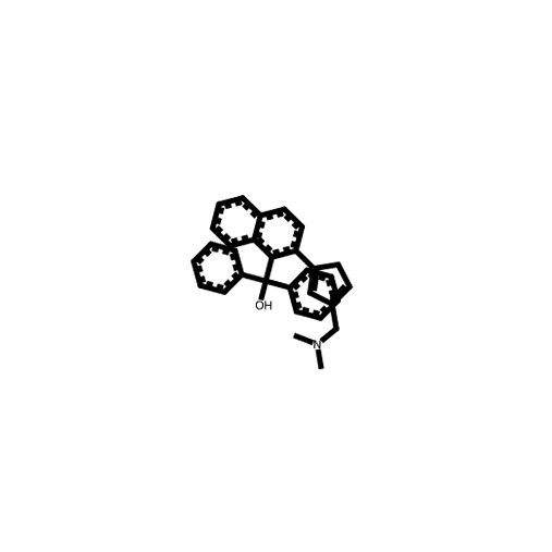 CN(C)CC1=CCC(c2ccc3ccccc3c2C(O)(c2ccccc2)c2ccccc2)=C1